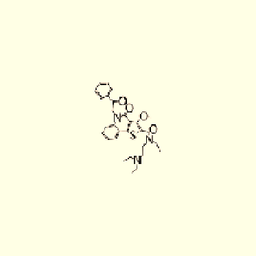 CCN(CC)CCN(CC)C(=O)c1sc2c(c1OC)c(=O)n(CC(=O)c1ccccc1)c1ccccc21